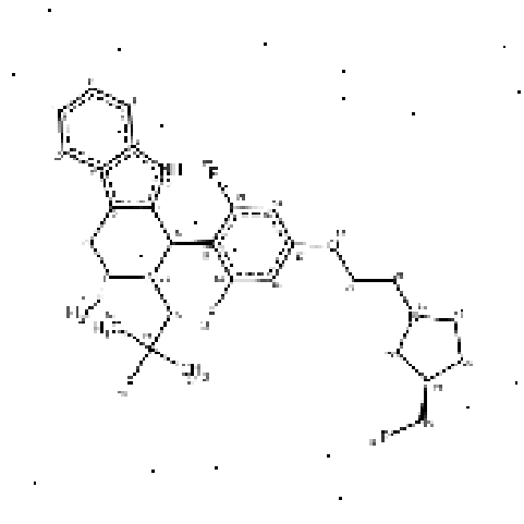 C[C@@H]1Cc2c([nH]c3ccccc23)[C@@H](c2c(F)cc(OCCN3CC[C@@H](CF)C3)cc2F)N1CC(C)(C)F